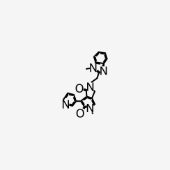 Cn1cc2c(c(-c3cccnc3)c1=O)C(=O)N(CCc1nc3ccccc3n1C)C2